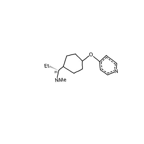 CC[C@@H](NC)C1CCC(Oc2ccncc2)CC1